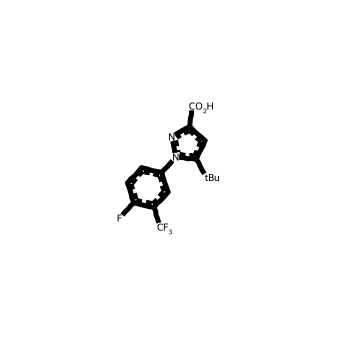 CC(C)(C)c1cc(C(=O)O)nn1-c1ccc(F)c(C(F)(F)F)c1